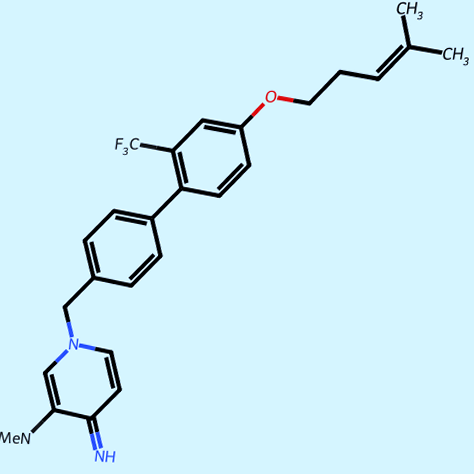 CNc1cn(Cc2ccc(-c3ccc(OCCC=C(C)C)cc3C(F)(F)F)cc2)ccc1=N